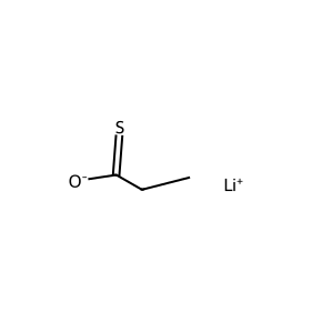 CCC([O-])=S.[Li+]